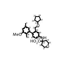 COc1cc(C)cc(-c2ccc(NC3(C(=O)O)CCOCC3)cc2COC2CCCC2)c1C